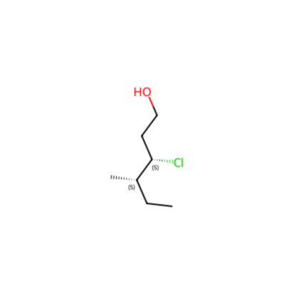 CC[C@H](C)[C@@H](Cl)CCO